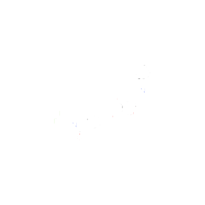 O=C(c1ccc(COc2coc(CN3Cc4ccccc4C3)cc2=O)cc1)N1CC(F)(F)C1